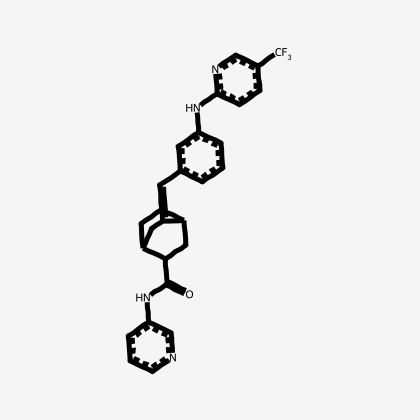 O=C(Nc1cccnc1)C1CC2CCC1CC2=Cc1cccc(Nc2ccc(C(F)(F)F)cn2)c1